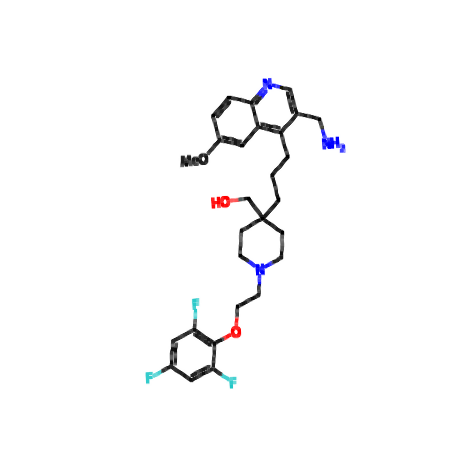 COc1ccc2ncc(CN)c(CCCC3(CO)CCN(CCOc4c(F)cc(F)cc4F)CC3)c2c1